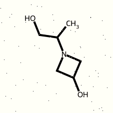 CC(CO)N1CC(O)C1